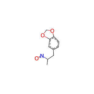 CC(Cc1ccc2c(c1)OCO2)N=O